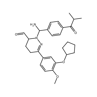 COc1ccc(C2=NN(C(N)c3ccc(C(=O)C(C)C)cc3)C(C=O)CC2)cc1OC1CCCC1